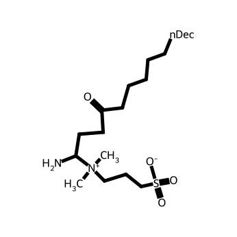 CCCCCCCCCCCCCCCC(=O)CCC(N)[N+](C)(C)CCCS(=O)(=O)[O-]